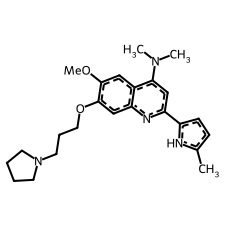 COc1cc2c(N(C)C)cc(-c3ccc(C)[nH]3)nc2cc1OCCCN1CCCC1